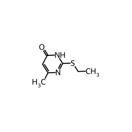 CCSc1nc(C)cc(=O)[nH]1